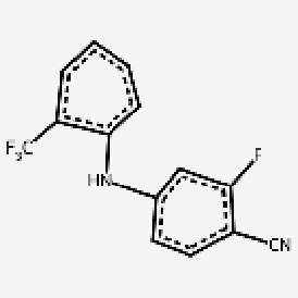 N#Cc1ccc(Nc2ccccc2C(F)(F)F)cc1F